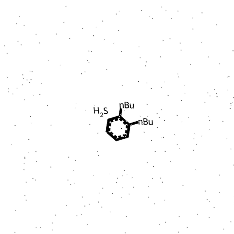 CCCCc1ccccc1CCCC.S